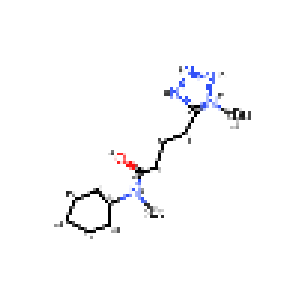 CCN(C(=O)CCCc1nnnn1C(C)(C)C)C1CCCCC1